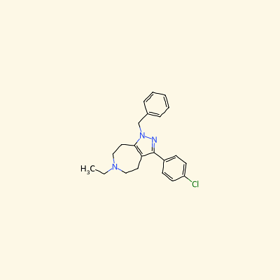 CCN1CCc2c(-c3ccc(Cl)cc3)nn(Cc3ccccc3)c2CC1